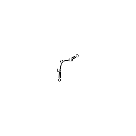 [O]=[La][O][La]=[O]